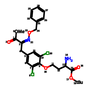 COC(=O)C(Cc1cc(Cl)c(OCCC(N)C(=O)OC(C)(C)C)c(Cl)c1)=NOCc1ccccc1